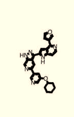 c1cc2[nH]c(-c3n[nH]c4cnc(-c5cncc(OC6CCCCC6)c5)cc34)cc2c(-c2ccoc2)n1